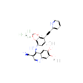 COc1cc2ncc(C#N)c(Nc3ccc(C#Cc4ccccn4)c4c3OCO4)c2cc1OC.Cl.Cl